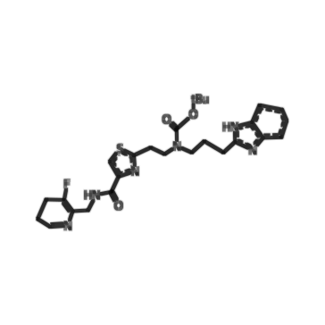 CC(C)(C)OC(=O)N(CCCc1nc2ccccc2[nH]1)CCc1nc(C(=O)NCC2=C(F)CCC=N2)cs1